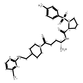 Cc1ccc(S(=O)(=O)N2CCC[C@H]2C(=O)N[C@@H](CCC(=O)N2CCC(CNc3nccc(C(F)(F)F)n3)CC2)C(=O)O)cc1